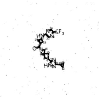 O=C(N1CC2(CC(c3nc(C4CC4)n[nH]3)C2)C1)C12CC(Nc3cnc(C(F)(F)F)cn3)(C1)C2